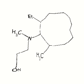 CCC1CCCCCC(C)C1N(C)CCO